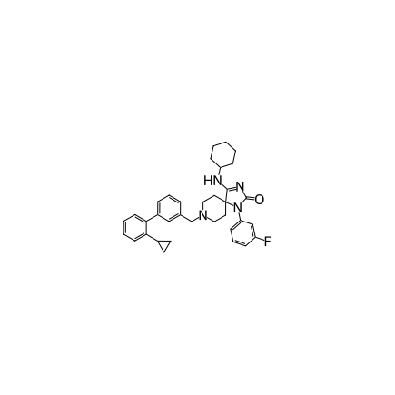 O=C1N=C(NC2CCCCC2)C2(CCN(Cc3cccc(-c4ccccc4C4CC4)c3)CC2)N1c1cccc(F)c1